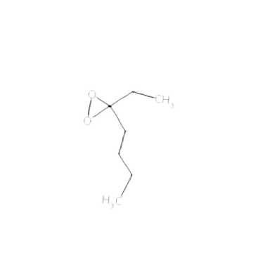 CCCCC1(CC)OO1